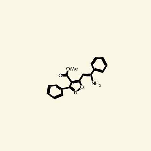 COC(=O)c1c(-c2ccccc2)noc1C=C(N)c1ccccc1